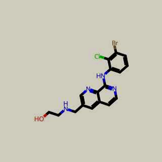 OCCNCc1cnc2c(Nc3cccc(Br)c3Cl)nccc2c1